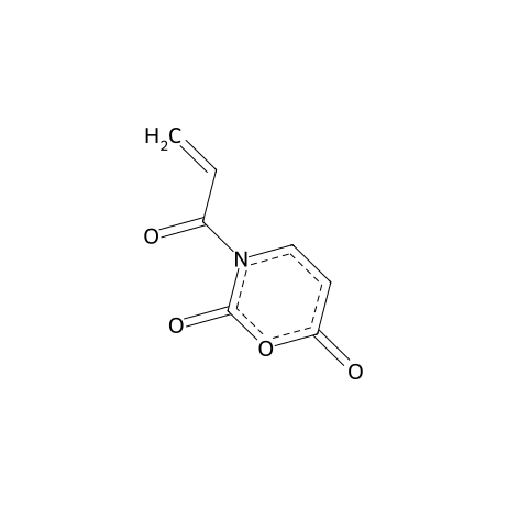 C=CC(=O)n1ccc(=O)oc1=O